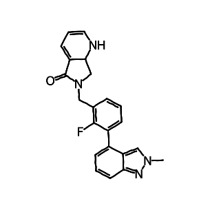 Cn1cc2c(-c3cccc(CN4CC5NC=CC=C5C4=O)c3F)cccc2n1